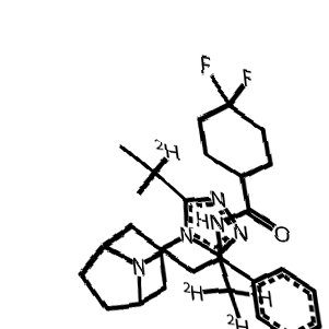 [2H]C([2H])([2H])c1nnc(C([2H])(C)C)n1C1CC2CCC(C1)N2CCC(NC(=O)C1CCC(F)(F)CC1)c1ccccc1